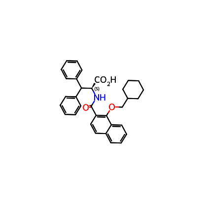 O=C(N[C@H](C(=O)O)C(c1ccccc1)c1ccccc1)c1ccc2ccccc2c1OCC1CCCCC1